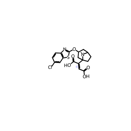 CN1C2CCC1(/C(=C\C(=O)O)C(=O)O)CC(Oc1nc3ccc(Cl)cc3s1)C2